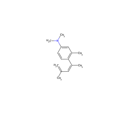 C=C(C)/C=C(/C)c1ccc(N(C)C)cc1C